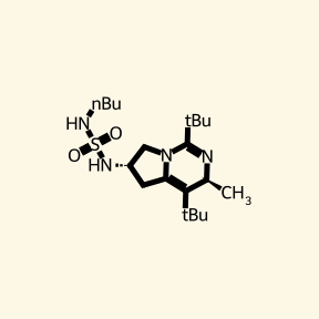 CCCCNS(=O)(=O)N[C@H]1CC2=C(C(C)(C)C)[C@H](C)N=C(C(C)(C)C)N2C1